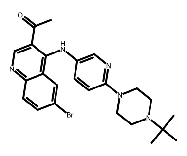 CC(=O)c1cnc2ccc(Br)cc2c1Nc1ccc(N2CCN(C(C)(C)C)CC2)nc1